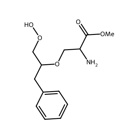 COC(=O)C(N)COC(COO)Cc1ccccc1